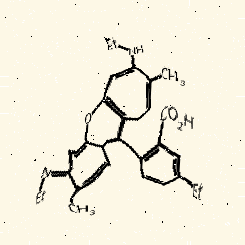 CC/N=C1/C=C2Oc3cc(NCC)c(C)cc3C(c3ccc(CC)cc3C(=O)O)C2C=C1C